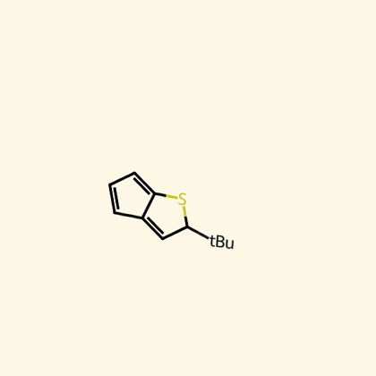 CC(C)(C)C1C=C2C=CC=C2S1